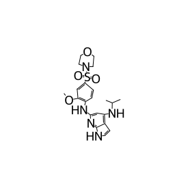 COc1cc(S(=O)(=O)N2CCOCC2)ccc1Nc1cc(NC(C)C)c2cc[nH]c2n1